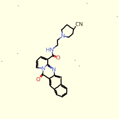 N#CC1CCN(CCNC(=O)c2cccn3c(=O)c4cc5ccccc5cc4nc23)CC1